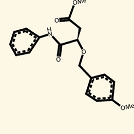 COC(=O)C[C@@H](OCc1ccc(OC)cc1)C(=O)Nc1ccccc1